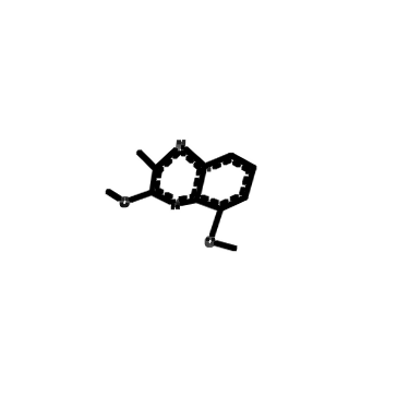 COc1nc2c(OC)cccc2nc1C